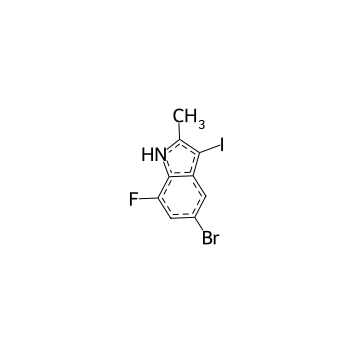 Cc1[nH]c2c(F)cc(Br)cc2c1I